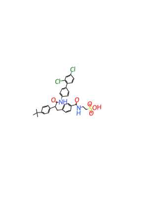 CC(C)(C)c1ccc(C(Cc2ccc(C(=O)NCCS(=O)(=O)O)cc2)C(=O)Nc2ccc(-c3ccc(Cl)cc3Cl)cc2)cc1